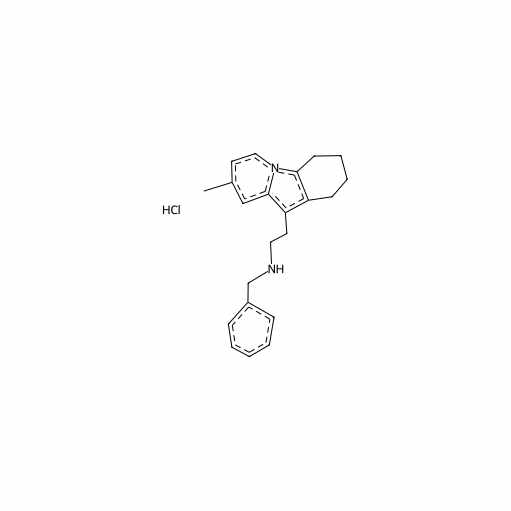 Cc1ccn2c3c(c(CCNCc4ccccc4)c2c1)CCCC3.Cl